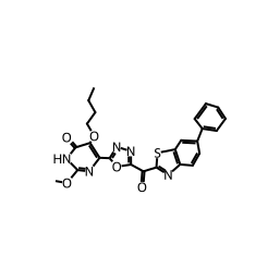 CCCCOc1c(-c2nnc(C(=O)c3nc4ccc(-c5ccccc5)cc4s3)o2)nc(OC)[nH]c1=O